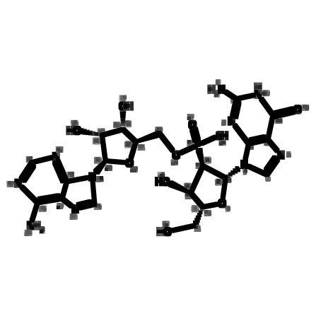 Nc1nc2c(ncn2[C@@H]2O[C@H](CO)[C@@H](O)[C@H]2P(=O)(S)OC[C@H]2O[C@@H](n3cnc4c(N)ncnc43)[C@H](O)[C@@H]2O)c(=O)[nH]1